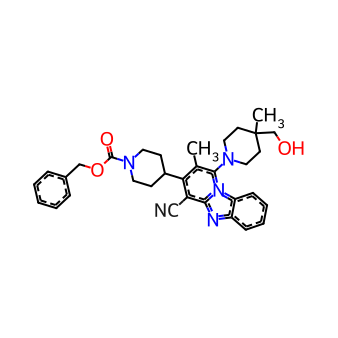 Cc1c(C2CCN(C(=O)OCc3ccccc3)CC2)c(C#N)c2nc3ccccc3n2c1N1CCC(C)(CO)CC1